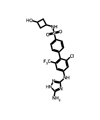 Nc1nc(Nc2cc(Cl)c(-c3ccc(S(=O)(=O)NC4CC(O)C4)cc3)c(C(F)(F)F)c2)n[nH]1